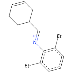 CCc1cccc(CC)c1/N=C/C1CC=CCC1